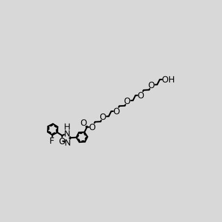 O=C(OCCOCCOCCOCCOCCOCCO)c1cccc(C2=NOC(c3ccccc3F)N2)c1